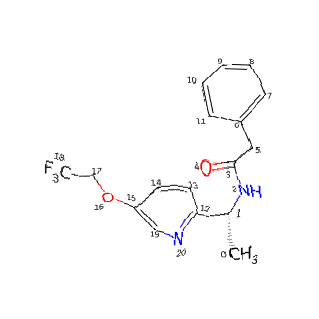 C[C@@H](NC(=O)Cc1ccccc1)c1ccc(OCC(F)(F)F)cn1